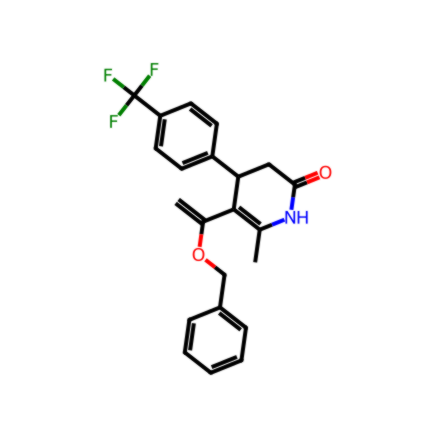 C=C(OCc1ccccc1)C1=C(C)NC(=O)CC1c1ccc(C(F)(F)F)cc1